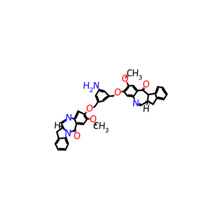 COc1cc2c(cc1OCc1cc(N)cc(COc3cc4c(cc3OC)C(=O)N3c5ccccc5C[C@H]3C=N4)c1)N=C[C@@H]1Cc3ccccc3C1C2=O